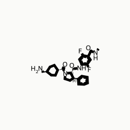 CNC(=O)c1cc(F)c(NC(=O)[C@@H]2[C@@H](c3ccccc3)CCN2C(=O)[C@H]2CC[C@H](CN)CC2)cc1F